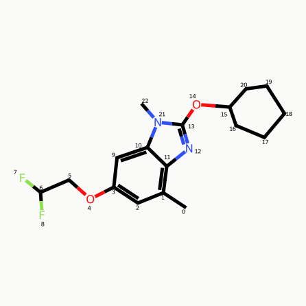 Cc1cc(OCC(F)F)cc2c1nc(OC1CCCCC1)n2C